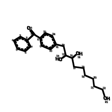 O=C(c1ccccc1)c1ccc(CC(O)C(O)CCCCCCO)cc1